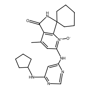 Cc1cc(Nc2cc(NC3CCCC3)ncn2)[n+]([O-])c2c1C(=O)NC21CCCCC1